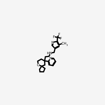 Cc1cc(CNCCC2(c3ccccn3)CCOC3(CCCC3)C2)cnc1C(F)(F)F